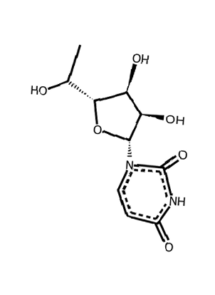 CC(O)[C@H]1O[C@@H](n2ccc(=O)[nH]c2=O)[C@H](O)[C@@H]1O